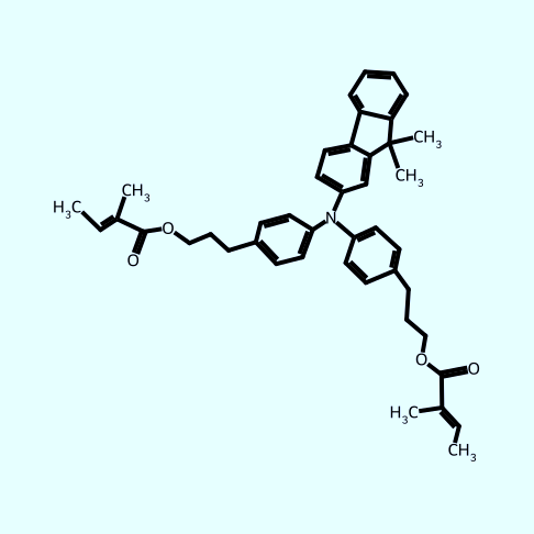 C/C=C(\C)C(=O)OCCCc1ccc(N(c2ccc(CCCOC(=O)/C(C)=C/C)cc2)c2ccc3c(c2)C(C)(C)c2ccccc2-3)cc1